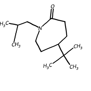 CC(C)CN1CCC(C(C)(C)C)CCC1=O